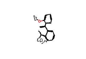 C=C(c1ccccc1OCC)c1ccccc1C(C)C(=O)O